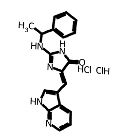 CC(NC1=N/C(=C\c2c[nH]c3ncccc23)C(=O)N1)c1ccccc1.Cl.Cl